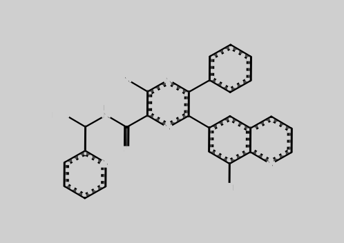 CC(NC(=O)c1nc(-c2cc(Cl)c3ncccc3c2)c(-c2ccccc2)nc1N)c1ccccn1